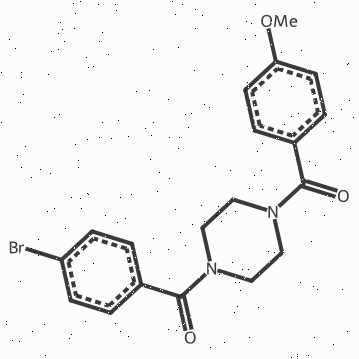 COc1ccc(C(=O)N2CCN(C(=O)c3ccc(Br)cc3)CC2)cc1